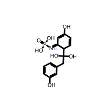 O=P(O)(O)/N=C1\C=C(O)C=CC1C(O)(O)Cc1cccc(O)c1